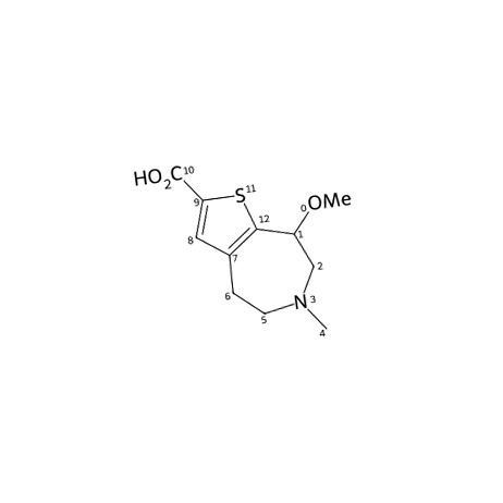 COC1CN(C)CCc2cc(C(=O)O)sc21